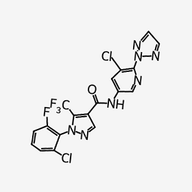 O=C(Nc1cnc(-n2nccn2)c(Cl)c1)c1cnn(-c2c(F)cccc2Cl)c1C(F)(F)F